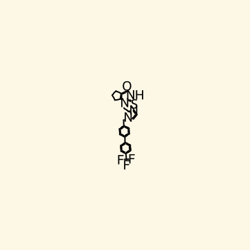 O=c1[nH]c(=S)n(Cc2nccn2Cc2ccc(-c3ccc(C(F)(F)F)cc3)cc2)c2c1CCC2